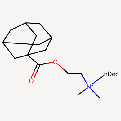 CCCCCCCCCC[N+](C)(C)CCOC(=O)C12CC3CC(CC(C3)C1)C2